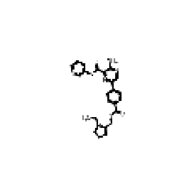 CCN1CCCC1CNC(=O)c1ccc(-c2cnc(N)c(C(=O)Nc3cccnc3)n2)cc1